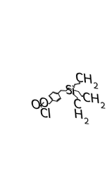 C=CC[Si](CC=C)(CC=C)CCCc1ccc(COC(=O)Cl)cc1